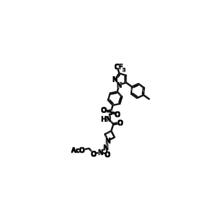 CC(=O)OCOn1on1N1CC(C(=O)NS(=O)(=O)c2ccc(-n3nc(C(F)(F)F)cc3-c3ccc(C)cc3)cc2)C1